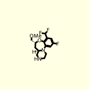 COC[C@H]1C[C@@H]2CNCCN2c2cc(F)cc(C(F)F)c2O1